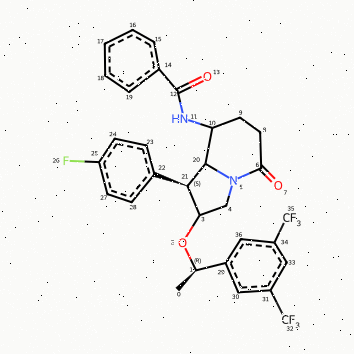 C[C@@H](OC1CN2C(=O)CCC(NC(=O)c3ccccc3)C2[C@@H]1c1ccc(F)cc1)c1cc(C(F)(F)F)cc(C(F)(F)F)c1